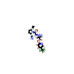 C#C[C@H]1CC[C@@H](C#N)N1C(=O)CNC(C)(C)COc1ccc(C(F)(F)F)cn1